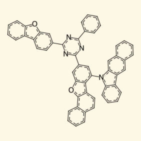 c1ccc(-c2nc(-c3ccc4c(c3)oc3ccccc34)nc(-c3cc(-n4c5ccccc5c5cc6ccccc6cc54)c4c(c3)oc3c5ccccc5ccc34)n2)cc1